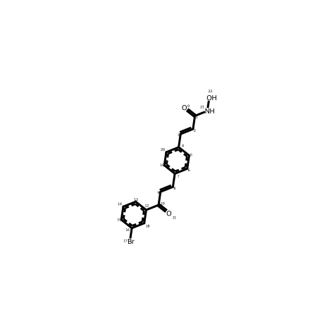 O=C(C=Cc1ccc(C=CC(=O)c2cccc(Br)c2)cc1)NO